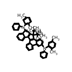 Cc1ccc(C)c(N(c2ccccc2)c2ccc3c4c(c5ccccc5c3c2)-c2c(cc(N(c3ccccc3)c3cc(C)ccc3C)c3ccccc23)C4(C(C)(C)C)C(C)(C)C)c1